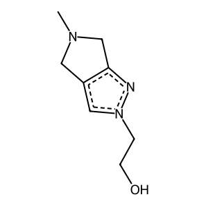 CN1Cc2cn(CCO)nc2C1